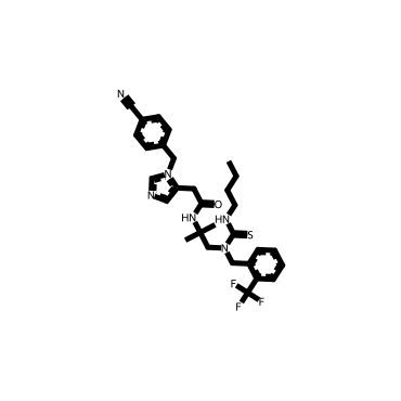 CCCCNC(=S)N(Cc1ccccc1C(F)(F)F)CC(C)(C)NC(=O)Cc1cncn1Cc1ccc(C#N)cc1